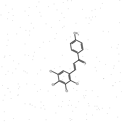 Cc1ccc(C(=S)C=Cc2cc(Cl)c(Cl)c(Cl)c2Cl)cc1